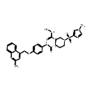 Cc1cc(COc2ccc(NC(=O)[C@H]3CCN(S(=O)(=O)c4cn(C)cn4)C[C@@H]3C(=O)NO)cc2)c2ccccc2n1